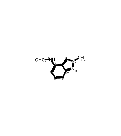 Cn1cc2c(NC=O)cccc2n1